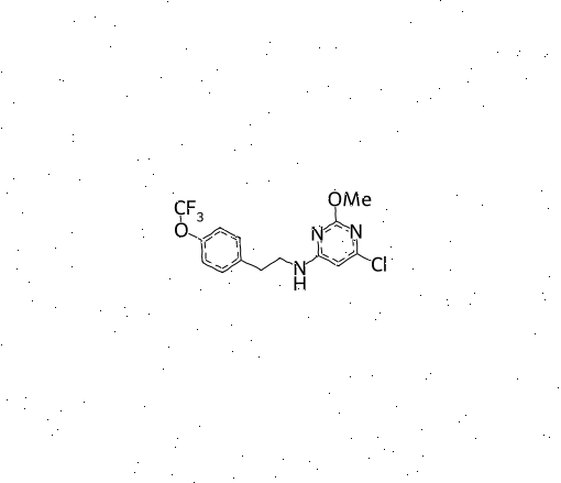 COc1nc(Cl)cc(NCCc2ccc(OC(F)(F)F)cc2)n1